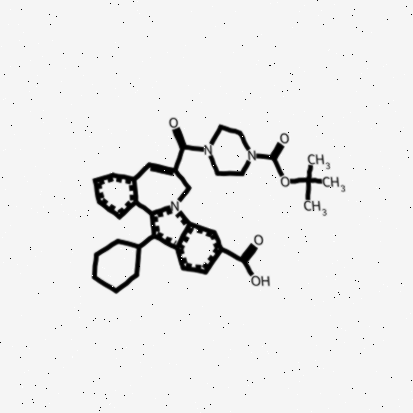 CC(C)(C)OC(=O)N1CCN(C(=O)C2=Cc3ccccc3-c3c(C4CCCCC4)c4ccc(C(=O)O)cc4n3C2)CC1